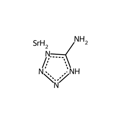 Nc1nnn[nH]1.[SrH2]